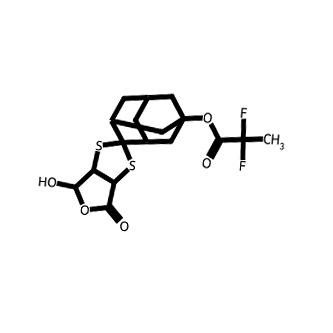 CC(F)(F)C(=O)OC12CC3CC(C1)C1(SC4C(=O)OC(O)C4S1)C(C3)C2